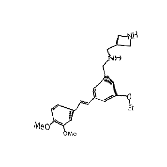 CCOc1cc(/C=C/c2ccc(OC)c(OC)c2)cc(CNCC2CNC2)c1